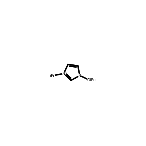 CC(C)COn1cc[n+](C(C)C)c1